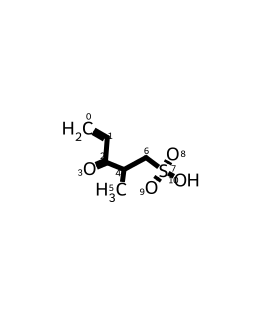 C=CC(=O)C(C)CS(=O)(=O)O